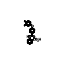 Cc1ccc(Oc2ccc(C(=O)Nc3ccccc3C(=O)O)cc2)cc1C